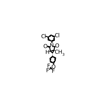 C[C@]12C(=O)N(c3cc(Cl)cc(Cl)c3)C(=O)[C@H]1[C@H]2c1ccc(OC(F)(F)F)cc1